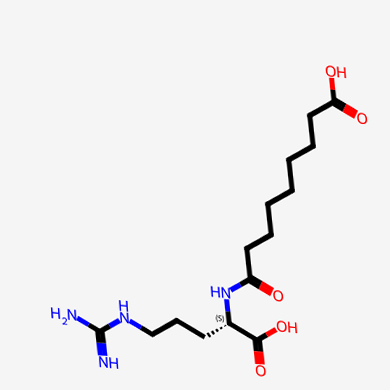 N=C(N)NCCC[C@H](NC(=O)CCCCCCCC(=O)O)C(=O)O